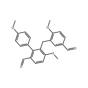 COc1ccc(-c2c(C=O)ccc(OC)c2Cc2cc(C=O)ccc2OC)cc1